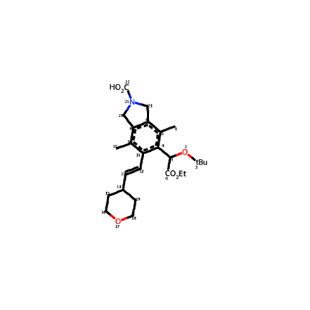 CCOC(=O)C(OC(C)(C)C)c1c(C)c2c(c(C)c1C=CC1CCOCC1)CN(C(=O)O)C2